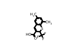 Cc1cc(C)c2c(c1)C=C(C(=O)O)C(C(F)(F)F)S2